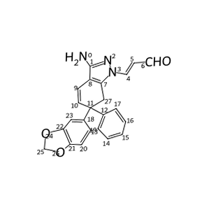 Nc1nn(C=CC=O)c2c1C=CC(c1ccccc1)(c1ccc3c(c1)OCO3)C2